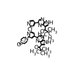 CC(C)(C)C(=O)c1c[nH]c2ncc(-c3ccnc(Cl)c3)nc12.CC(C)(C)C(=O)c1c[nH]c2ncc(-c3ccnc(N4CC[S+]([O-])CC4)c3)nc12